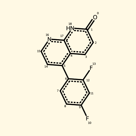 O=c1ccc2c(-c3ccc(F)cc3F)ccnc2[nH]1